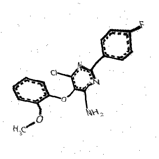 COc1ccccc1Oc1c(N)nc(-c2ccc(F)cc2)nc1Cl